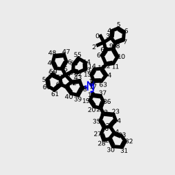 CC1(C)c2ccccc2-c2ccc(-c3ccc(N(c4ccc(-c5ccc6c(ccc7ccccc76)c5)cc4)c4ccc5c(c4)C(c4ccccc4)(c4ccccc4)c4ccccc4-5)cc3)cc21